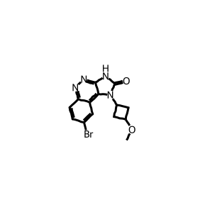 COC1CC(n2c(=O)[nH]c3nnc4ccc(Br)cc4c32)C1